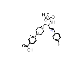 CS(=O)(=O)NC(/C=C/c1ccc(F)cc1)CN1CCN(c2ccc(C(=O)O)cn2)CC1